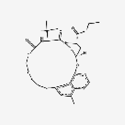 CCOC(=O)[C@@H]1C[C@@H]2CN1C(=O)[C@H](C(C)(C)C)NC(=O)OCCCCCc1cc(C)c3ccnc(c3c1)O2